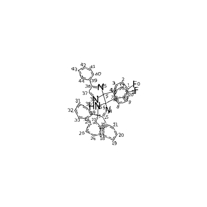 Fc1ccc(C2(C3(c4ccc(F)cc4)N=C(c4ccccc4)C(c4ccccc4)(c4ccccc4)N3)N=CC(c3ccccc3)=N2)cc1